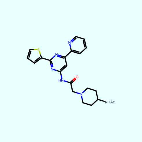 CC(=O)NC1CCN(CC(=O)Nc2cc(-c3ccccn3)nc(-c3cccs3)n2)CC1